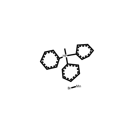 C[PH](c1ccccc1)(c1ccccc1)c1ccccc1.[Mn][Br]